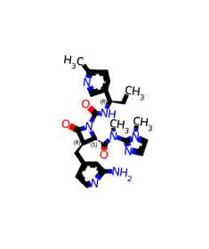 CC[C@@H](NC(=O)N1C(=O)[C@H](Cc2ccnc(N)c2)[C@H]1C(=O)N(C)c1nccn1C)c1ccc(C)nc1